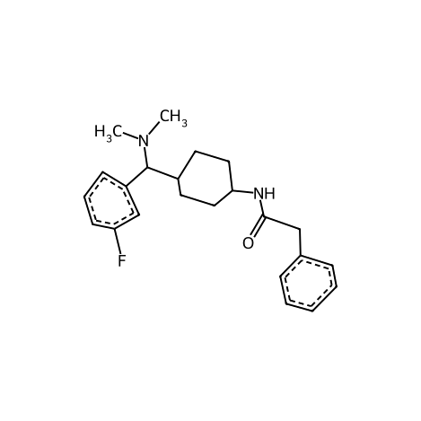 CN(C)C(c1cccc(F)c1)C1CCC(NC(=O)Cc2ccccc2)CC1